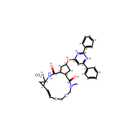 CN1CCCC/C=C/C2CC2(C(=O)O)NC(=O)C2CC(Oc3cc(-c4ccccc4)nc(-c4ccccc4)n3)CC2C1=O